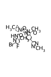 CC(=O)c1nn(CC(=O)N2C3C[C@]3(C)C[C@H]2C(=O)Nc2nc(Br)c(F)cc2C)c2ccc(-c3cnc(C)nc3)cc12